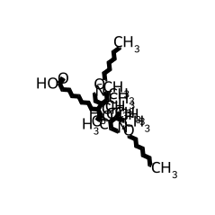 CCCCCCCCON1CCC(C)(OC(=O)C(CCCCCCCC(=O)O)C2(C)CCN(OCCCCCCCC)C(C)(C)C2(C)C)C(C)(C)C1(C)C